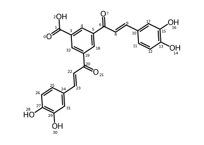 O=C(O)c1cc(C(=O)C=Cc2ccc(O)c(O)c2)cc(C(=O)C=Cc2ccc(O)c(O)c2)c1